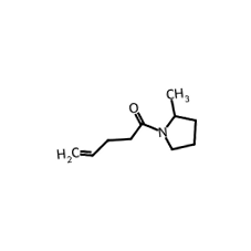 C=CCCC(=O)N1CCCC1C